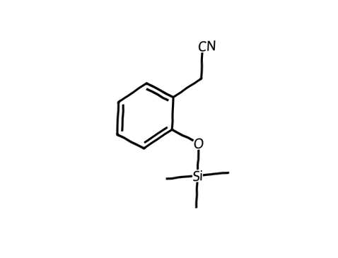 C[Si](C)(C)Oc1ccccc1CC#N